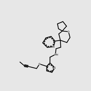 CC#CCOc1ccsc1CNCCC1(c2ccccn2)CCOC2(CCCC2)C1